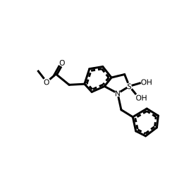 COC(=O)Cc1ccc2c(c1)N(Cc1ccccc1)S(O)(O)C2